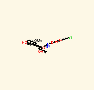 COc1cc(/C=C/c2cc(O)c(CC=C(C)C)c(OCc3cn(CCOCCOCCOCCCCCCCl)nn3)c2)cc2c1C[C@]1(C)CC[C@@H](O)C(C)(C)[C@H]1C2